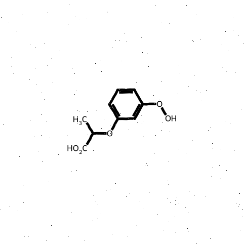 CC(Oc1cccc(OO)c1)C(=O)O